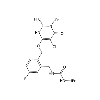 CC(C)NC(=O)NCc1cc(F)ccc1COC1=C(Cl)C(=O)N(C(C)C)C(C)N1